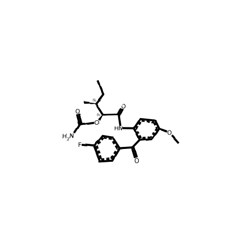 CC[C@H](C)[C@H](OC(N)=O)C(=O)Nc1ccc(OC)cc1C(=O)c1ccc(F)cc1